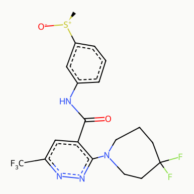 C[S@+]([O-])c1cccc(NC(=O)c2cc(C(F)(F)F)nnc2N2CCCC(F)(F)CC2)c1